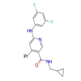 CC(C)c1cc(Nc2cc(F)cc(F)c2)ncc1C(=O)NCC1CC1